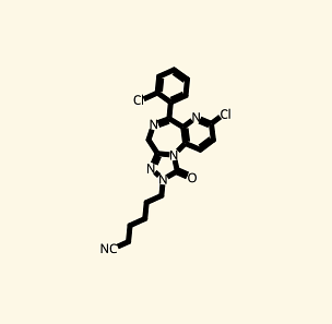 N#CCCCCCn1nc2n(c1=O)-c1ccc(Cl)nc1C(c1ccccc1Cl)=NC2